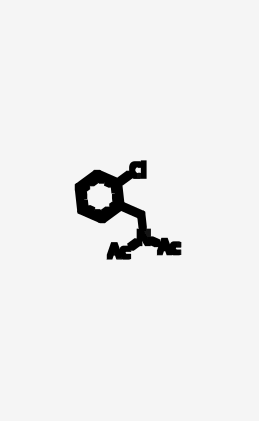 CC(=O)N(Cc1ccccc1Cl)C(C)=O